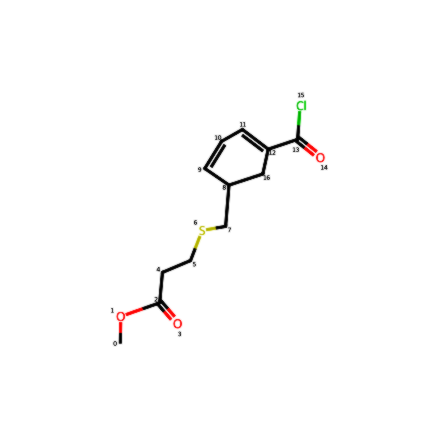 COC(=O)CCSCC1C=CC=C(C(=O)Cl)C1